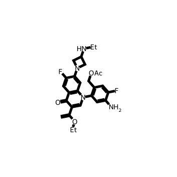 C=C(OCC)c1cn(-c2cc(N)c(F)cc2COC(C)=O)c2cc(N3CC(NCC)C3)c(F)cc2c1=O